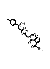 NC(=O)c1csc2ncn(Cc3nc(C[C@H](O)c4ccc(I)cc4)no3)c(=O)c12